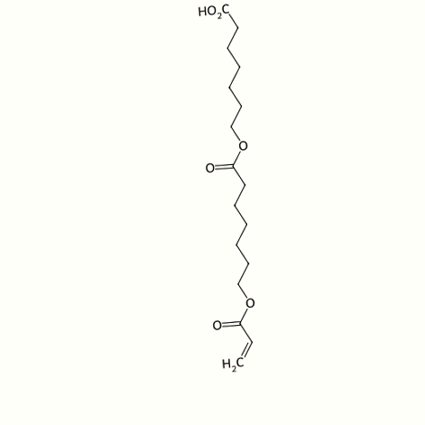 C=CC(=O)OCCCCCCC(=O)OCCCCCCC(=O)O